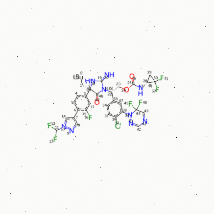 CC(C)(C)C[C@]1(c2ccc(-c3cnn(C(F)F)c3)c(F)c2)NC(=N)N([C@H](COC(=O)N[C@@H]2CC2(F)F)c2ccc(Cl)c(N3N=CN=CC3(F)F)c2)C1=O